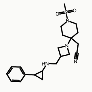 CS(=O)(=O)N1CCC(CC#N)(N2CC(CNC3CC3c3ccccc3)C2)CC1